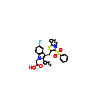 Cc1nc(S(=O)(=O)c2ccccc2)c(Cc2c(C)n(CC(=O)O)c3ccc(F)cc23)s1